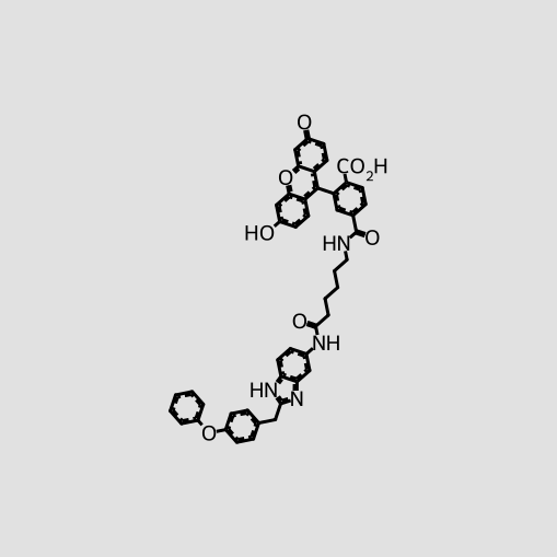 O=C(CCCCCNC(=O)c1ccc(C(=O)O)c(-c2c3ccc(=O)cc-3oc3cc(O)ccc23)c1)Nc1ccc2[nH]c(Cc3ccc(Oc4ccccc4)cc3)nc2c1